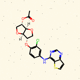 CC(=O)O[C@H]1CO[C@H]2[C@@H]1OC[C@@H]2Oc1ccc(Nc2ncnc3ccsc23)cc1Cl